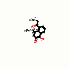 CCCCCCCCCCCC(=O)c1cccc2c(O)c(O)cc(CCCCC)c12